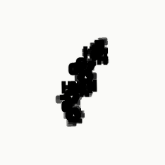 Cc1cc(Nc2ncnc3cc(C#C[C@@H]4[C@H]5CN(C)C[C@@H]45)c([N+](=O)[O-])cc23)ccc1Oc1ccccc1